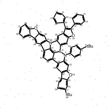 CC(C)(C)c1ccc(N2B3c4cc5oc(-c6ccccc6)c(-c6ccccc6)c5cc4-n4c5cc6oc7ccccc7c6cc5c5ccc(c3c54)-c3cc4c(cc32)oc2cc(C(C)(C)C)ccc24)cc1